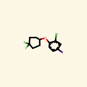 FC1(F)CCC(Oc2ccc(I)cc2Br)CC1